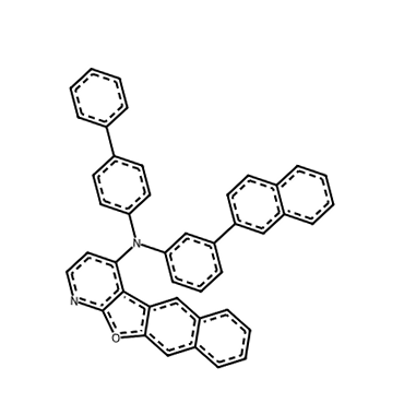 c1ccc(-c2ccc(N(c3cccc(-c4ccc5ccccc5c4)c3)c3ccnc4oc5cc6ccccc6cc5c34)cc2)cc1